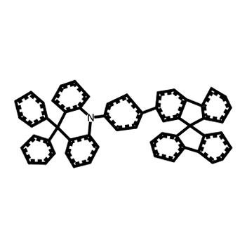 c1ccc(C2(c3ccccc3)c3ccccc3N(c3ccc(-c4ccc5c(c4)C4(c6ccccc6-c6ccccc64)c4ccccc4-5)cc3)c3ccccc32)cc1